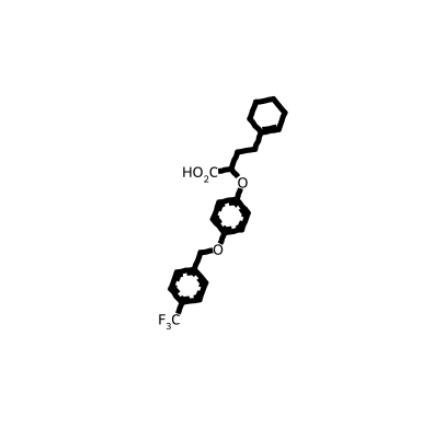 O=C(O)C(CCC1=CCCCC1)Oc1ccc(OCc2ccc(C(F)(F)F)cc2)cc1